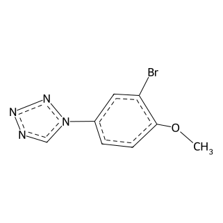 COc1ccc(-n2cnnn2)cc1Br